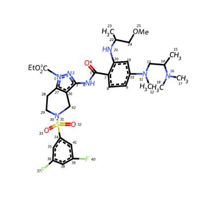 CCOC(=O)n1nc(NC(=O)c2ccc(N(C)CC(C)N(C)C)cc2NC(C)COC)c2c1CCN(S(=O)(=O)c1cc(F)cc(F)c1)C2